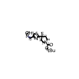 CC(C)(C)OC(=O)N1CCC(F)(c2nc(/C=N\O)cs2)CC1